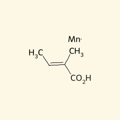 CC=C(C)C(=O)O.[Mn]